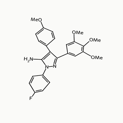 COc1ccc(-c2c(-c3cc(OC)c(OC)c(OC)c3)nn(-c3ccc(F)cc3)c2N)cc1